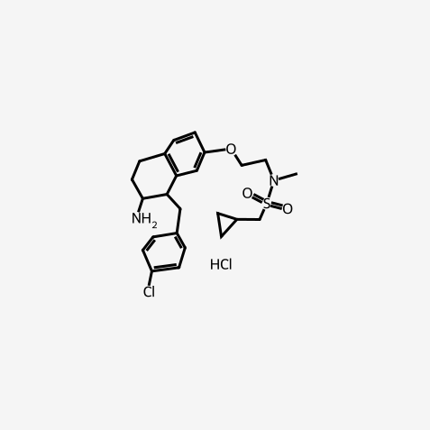 CN(CCOc1ccc2c(c1)C(Cc1ccc(Cl)cc1)C(N)CC2)S(=O)(=O)CC1CC1.Cl